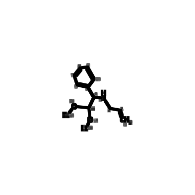 C=CCNC(c1ccccc1)C(OCC)OCC